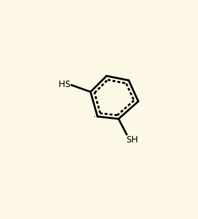 Sc1[c]c(S)ccc1